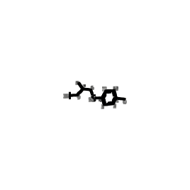 Cc1ccc(SCC(C)CI)cc1